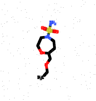 CCOCC1CCN(S(N)(=O)=O)CCO1